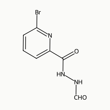 O=CNNC(=O)c1cccc(Br)n1